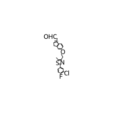 Cc1sc(-c2ccc(F)c(Cl)c2)nc1CCOc1ccc2c(c1)CC[C@H]2CC=O